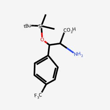 CC(C)(C)[Si](C)(C)OC(c1ccc(C(F)(F)F)cc1)C(N)C(=O)O